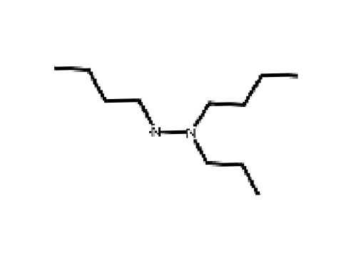 CCCC[N]N(CCC)CCCC